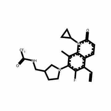 C=Cc1c(F)c(N2CCC(CNC(=O)C(F)(F)F)C2)c(C)c2c1ccc(=O)n2C1CC1